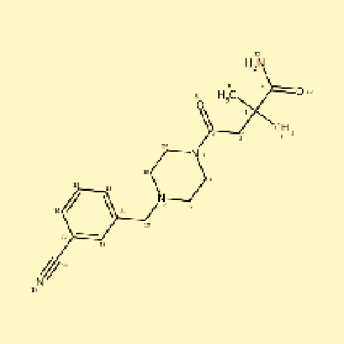 CC(C)([CH]C(=O)N1CCN(Cc2cccc(C#N)c2)CC1)C(N)=O